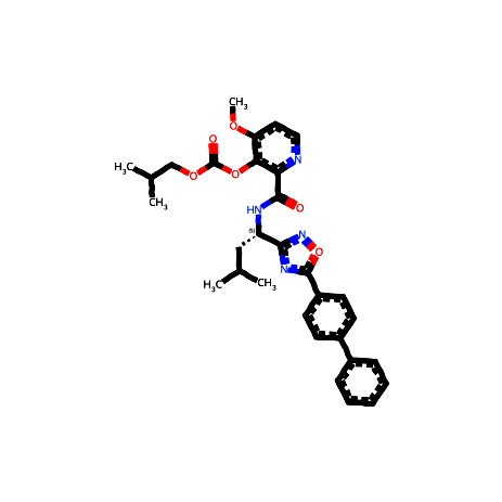 COc1ccnc(C(=O)N[C@@H](CC(C)C)c2noc(-c3ccc(-c4ccccc4)cc3)n2)c1OC(=O)OCC(C)C